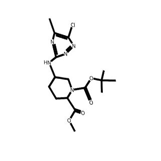 COC(=O)C1CCC(Nc2nnc(Cl)c(C)n2)CN1C(=O)OC(C)(C)C